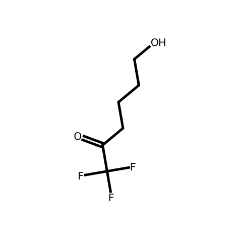 O=C(CCCCO)C(F)(F)F